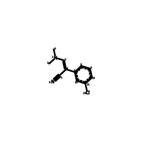 CN(C)C=C(C#N)c1cccc(Cl)c1